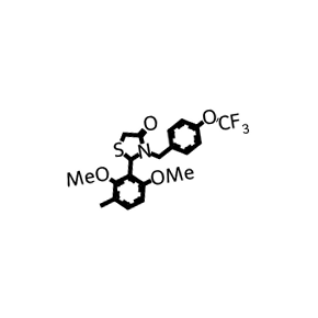 COc1ccc(C)c(OC)c1C1SCC(=O)N1Cc1ccc(OC(F)(F)F)cc1